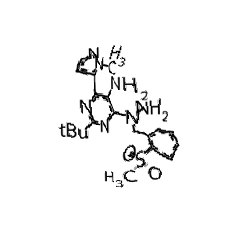 Cn1nccc1-c1nc(C(C)(C)C)nc(N(N)Cc2ccccc2S(C)(=O)=O)c1N